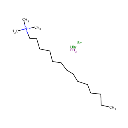 Br.CCCCCCCCCCCCCC[N+](C)(C)C.P.[Br-]